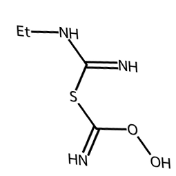 CCNC(=N)SC(=N)OO